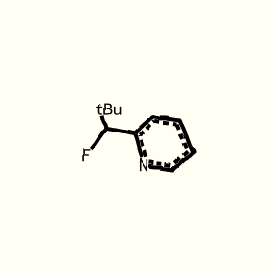 CC(C)(C)C(F)c1ccccn1